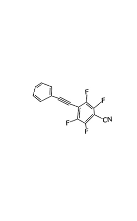 N#Cc1c(F)c(F)c(C#Cc2ccccc2)c(F)c1F